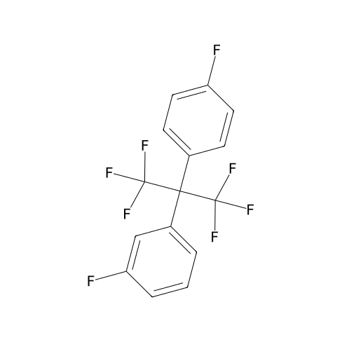 Fc1ccc(C(c2cccc(F)c2)(C(F)(F)F)C(F)(F)F)cc1